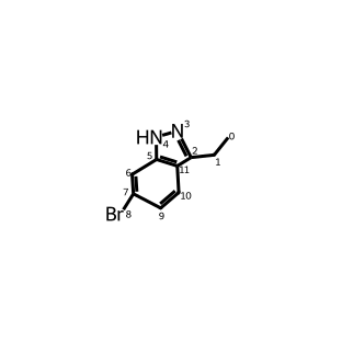 CCc1n[nH]c2cc(Br)ccc12